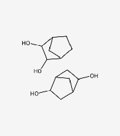 OC1C2CCC(C2)C1O.OC1CC2CC1CC2O